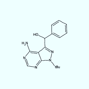 CC(C)(C)n1nc(C(O)c2ccccc2)c2c(N)ncnc21